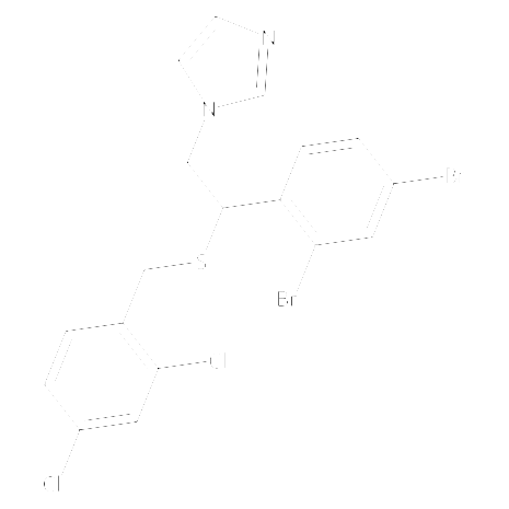 Clc1ccc(CSC(Cn2ccnc2)c2ccc(Br)cc2Br)c(Cl)c1